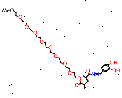 CCC(CC(C)C(=O)NCCc1ccc(O)c(O)c1)C(=O)OCCOCCOCCOCCOCCOCCOCCOCCOCCOC